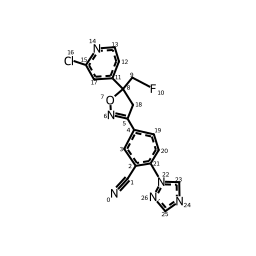 N#Cc1cc(C2=NOC(CF)(c3ccnc(Cl)c3)C2)ccc1-n1cncn1